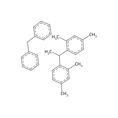 Cc1ccc(C(C)c2ccc(C)cc2C)c(C)c1.c1ccc(Cc2ccccc2)cc1